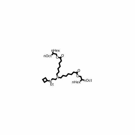 CCCCCCCCC(CCCCCC)COC(=O)CCCCCCN(CCCCCCC(=O)OCC(CCCCCC)CCCCCCCC)CCN(CC)C1CCC1